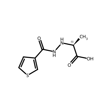 C[C@H](NNC(=O)c1ccsc1)C(=O)O